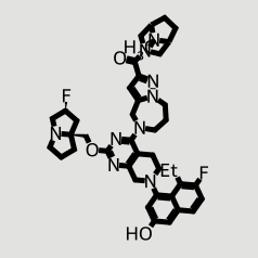 CCc1c(F)ccc2cc(O)cc(N3CCc4c(nc(OC[C@@]56CCCN5C[C@H](F)C6)nc4N4CCCn5nc(C(=O)N6CC7CCC(C6)N7C)cc5C4)C3)c12